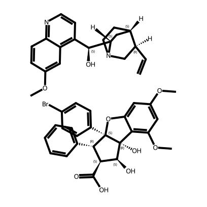 C=C[C@H]1CN2CC[C@H]1C[C@H]2[C@@H](O)c1ccnc2ccc(OC)cc12.COc1cc(OC)c2c(c1)O[C@]1(c3ccc(Br)cc3)[C@@H](c3ccccc3)[C@H](C(=O)O)[C@H](O)[C@]21O